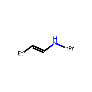 [CH2]CC=CNCCC